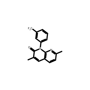 Cc1ccc2cc(C)c(=O)n(-c3cccc(C(F)(F)F)c3)c2n1